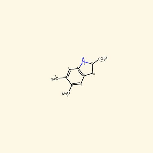 COc1cc2c(cc1OC)NC(C(=O)O)C2